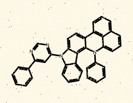 c1ccc(-c2cc(-n3c4ccccc4c4c5c(ccc43)-c3cccc4cccc(c34)N5c3ccccc3)ncn2)cc1